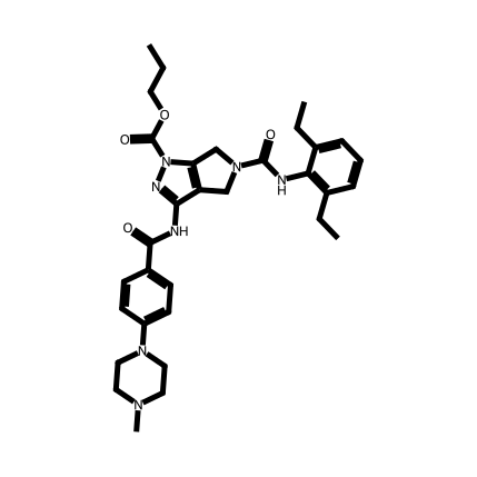 CCCOC(=O)n1nc(NC(=O)c2ccc(N3CCN(C)CC3)cc2)c2c1CN(C(=O)Nc1c(CC)cccc1CC)C2